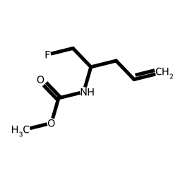 C=CCC(CF)NC(=O)OC